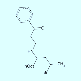 CCCCCCCCC(CC(C)Br)NCCC(=O)c1ccccc1